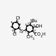 Cc1c(Sc2cc(Cl)ccc2Cl)cc(C(C)(C)C)c(O)c1C(=O)O